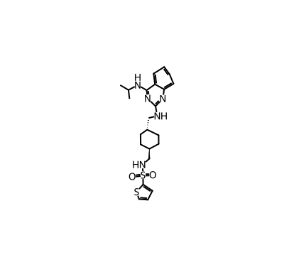 CC(C)Nc1nc(NC[C@H]2CC[C@H](CNS(=O)(=O)c3cccs3)CC2)nc2ccccc12